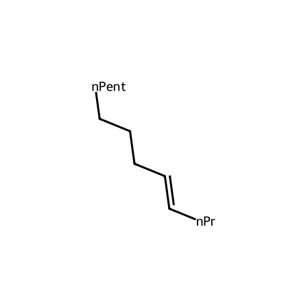 [CH2]CCC=CCCCCCCC[CH2]